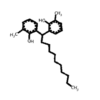 CCCCCCCCCCC(c1cccc(C)c1O)c1cccc(C)c1O